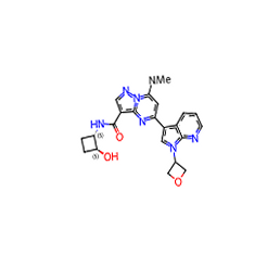 CNc1cc(-c2cn(C3COC3)c3ncccc23)nc2c(C(=O)N[C@H]3CC[C@@H]3O)cnn12